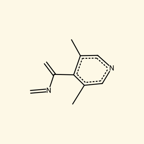 C=NC(=C)c1c(C)cncc1C